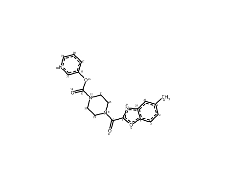 Cc1ccc2oc(C(=O)N3CCN(C(=O)Oc4cccnc4)CC3)nc2c1